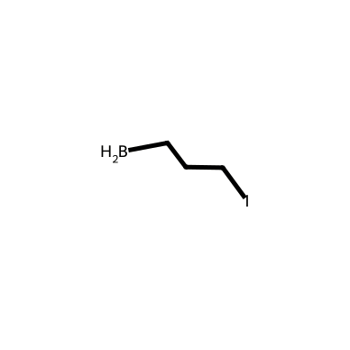 BCCCI